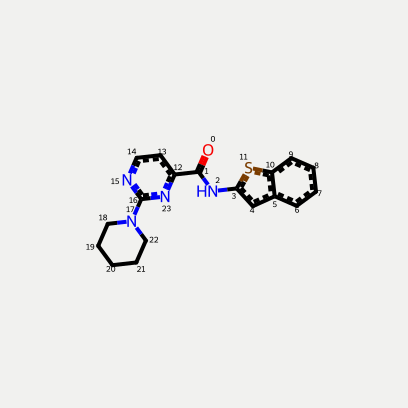 O=C(Nc1cc2ccccc2s1)c1ccnc(N2CCCCC2)n1